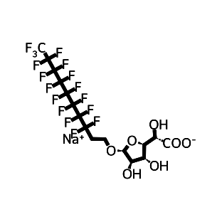 O=C([O-])[C@@H](O)[C@H]1O[C@@H](OCCC(F)(F)C(F)(F)C(F)(F)C(F)(F)C(F)(F)C(F)(F)C(F)(F)C(F)(F)F)[C@H](O)[C@H]1O.[Na+]